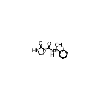 C[C@@H](NC(=O)N1CCNC1=O)c1ccccc1